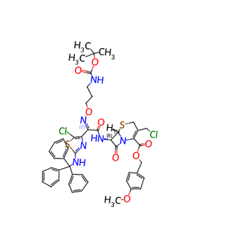 COc1ccc(COC(=O)C2=C(CCl)CS[C@H]3[C@H](NC(=O)/C(=N\OCCCNC(=O)OC(C)(C)C)c4nc(NC(c5ccccc5)(c5ccccc5)c5ccccc5)sc4Cl)C(=O)N23)cc1